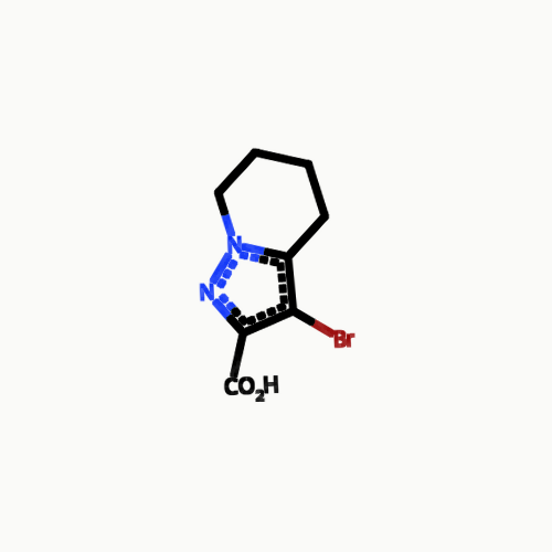 O=C(O)c1nn2c(c1Br)CCCC2